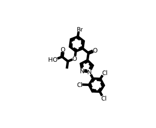 CC(Oc1ccc(Br)cc1C(=O)c1cnn(-c2c(Cl)cc(Cl)cc2Cl)c1)C(=O)O